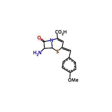 COc1ccc(C=C2C=C(C(=O)O)N3C(=O)C(N)C3S2)cc1